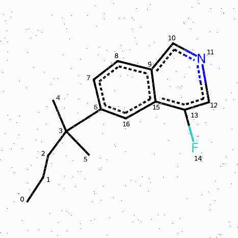 CCCC(C)(C)c1ccc2cncc(F)c2c1